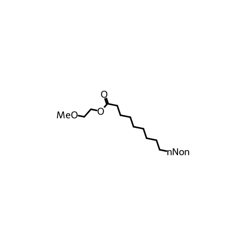 CCCCCCCCCCCCCCCCCC(=O)OCCOC